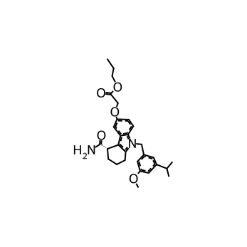 CCCOC(=O)COc1ccc2c(c1)c1c(n2Cc2cc(OC)cc(C(C)C)c2)CCC[C@@H]1C(N)=O